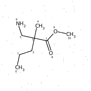 CCCC(C)(CN)C(=O)OC